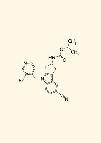 CC(C)OC(=O)NC1Cc2c(n(Cc3ccncc3Br)c3ccc(C#N)cc23)C1